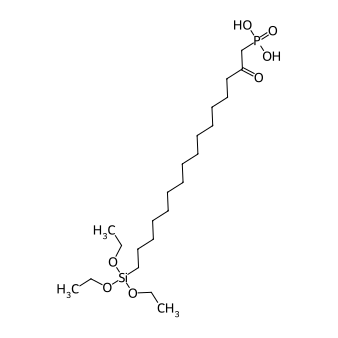 CCO[Si](CCCCCCCCCCCCCCC(=O)CP(=O)(O)O)(OCC)OCC